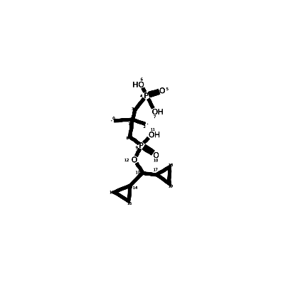 [CH2]C([CH2])(CP(=O)(O)O)CP(=O)(O)OC(C1CC1)C1CC1